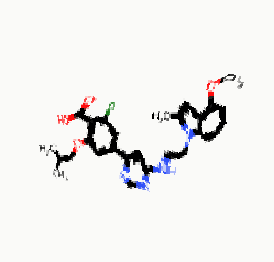 COc1cccc2c1cc(C)n2CCNc1cc(-c2cc(Cl)c(C(=O)O)c(OCC(C)C)c2)ncn1